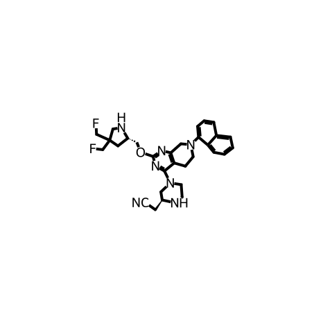 N#CC[C@H]1CN(c2nc(OC[C@@H]3CC(CF)(CF)CN3)nc3c2CCN(c2cccc4ccccc24)C3)CCN1